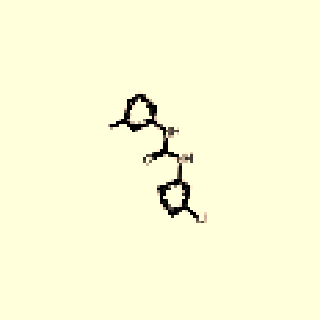 Cc1cccc(NC(=O)Nc2cccc(Cl)c2)c1